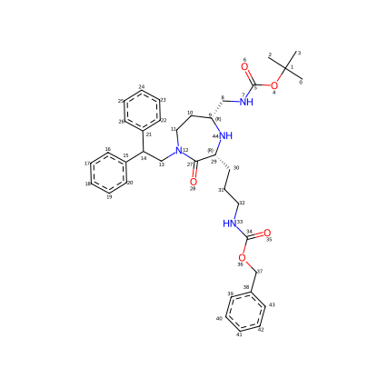 CC(C)(C)OC(=O)NC[C@H]1CCN(CC(c2ccccc2)c2ccccc2)C(=O)[C@@H](CCCNC(=O)OCc2ccccc2)N1